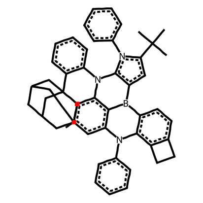 Cc1cc2c3c(c1)N(c1ccccc1C14CC5CC(CC(C5)C1)C4)c1c(cc(C(C)(C)C)n1-c1ccccc1)B3c1ccc3c(c1N2c1ccccc1)CC3